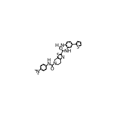 CN(C)c1ccc(NC(=O)N2CCc3nc(C(=O)Nc4cc(-c5cccs5)ccc4N)sc3C2)cc1